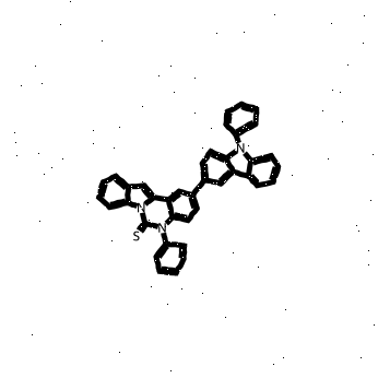 S=c1n(-c2ccccc2)c2ccc(-c3ccc4c(c3)c3ccccc3n4-c3ccccc3)cc2c2cc3ccccc3n12